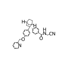 N#CCNC(=O)c1ccc([C@]2(c3ccc(OCc4ccccn4)cc3)C[C@@H]3CC[C@H]2C3)cc1